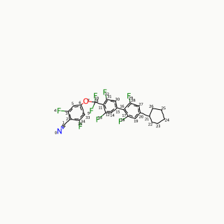 N#Cc1c(F)cc(OC(F)(F)c2c(F)cc(-c3c(F)cc(C4CCCCC4)cc3F)cc2F)cc1F